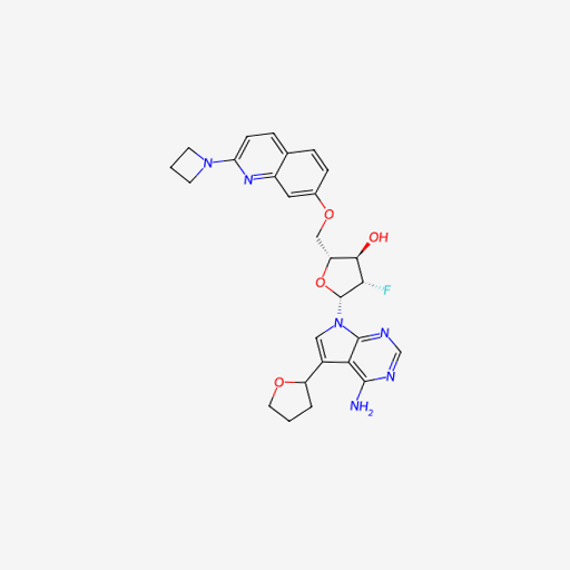 Nc1ncnc2c1c(C1CCCO1)cn2[C@@H]1O[C@H](COc2ccc3ccc(N4CCC4)nc3c2)[C@@H](O)[C@@H]1F